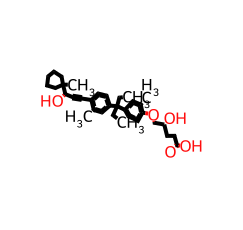 CCC(CC)(c1ccc(C#CC(O)C2(C)CCCCC2)c(C)c1)c1ccc(OCC(O)CCC(=O)O)c(C)c1